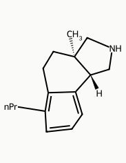 CCCc1cccc2c1CC[C@@]1(C)CNC[C@H]21